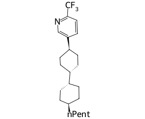 CCCCC[C@H]1CC[C@H]([C@H]2CC[C@H](c3ccc(C(F)(F)F)nc3)CC2)CC1